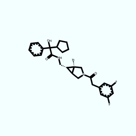 O=C(Cc1cc(F)cc(F)c1)N1CC2[C@H](CNC(=O)C(O)(c3ccccc3)C3CCCC3)[C@H]2C1